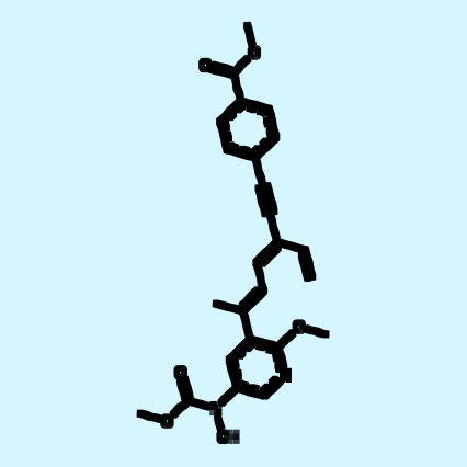 C=C/C(C#Cc1ccc(C(=O)OC)cc1)=C\C=C(/C)c1cc(N(O)C(=O)OC)cnc1OC